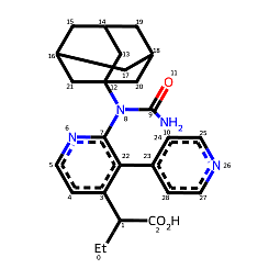 CCC(C(=O)O)c1ccnc(N(C(N)=O)C23CC4CC(CC(C4)C2)C3)c1-c1ccncc1